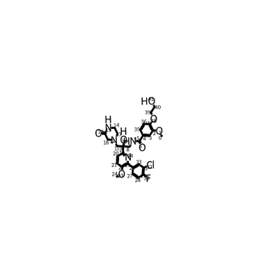 COc1cc(C(=O)NCC(O)(CN2CCNC(=O)C2)c2ccc(OC)c(-c3ccc(F)c(Cl)c3)n2)ccc1OCCO